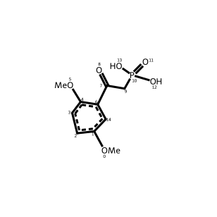 COc1ccc(OC)c(C(=O)CP(=O)(O)O)c1